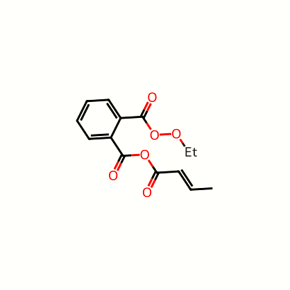 CC=CC(=O)OC(=O)c1ccccc1C(=O)OOCC